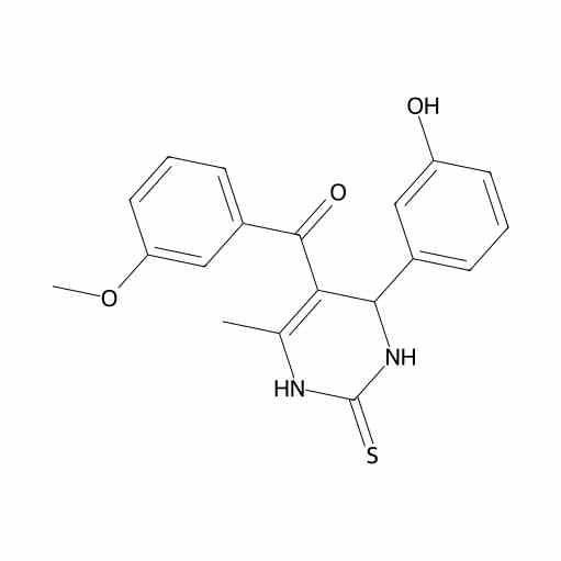 COc1cccc(C(=O)C2=C(C)NC(=S)NC2c2cccc(O)c2)c1